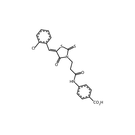 O=C(CCN1C(=O)/C(=C/c2ccccc2Cl)SC1=S)Nc1ccc(C(=O)O)cc1